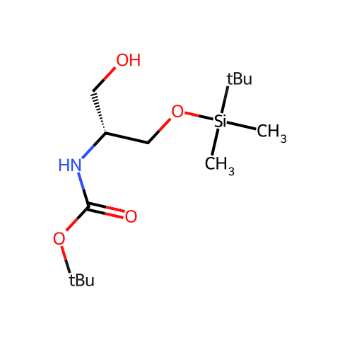 CC(C)(C)OC(=O)N[C@H](CO)CO[Si](C)(C)C(C)(C)C